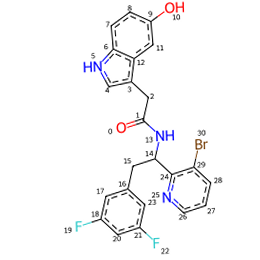 O=C(Cc1c[nH]c2ccc(O)cc12)NC(Cc1cc(F)cc(F)c1)c1ncccc1Br